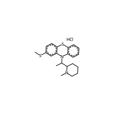 CSc1ccc2c(c1)N(C(C)C1CCCCN1C)c1ccccc1S2.Cl